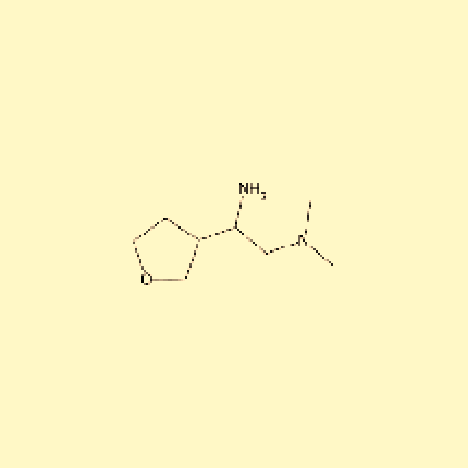 CN(C)CC(N)C1CCOC1